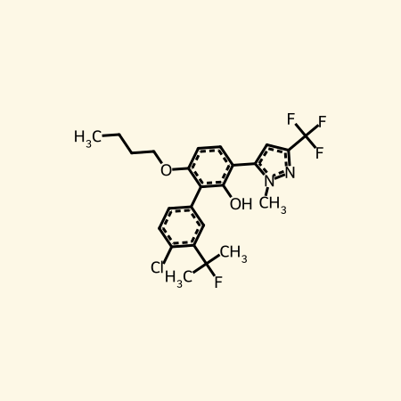 CCCCOc1ccc(-c2cc(C(F)(F)F)nn2C)c(O)c1-c1ccc(Cl)c(C(C)(C)F)c1